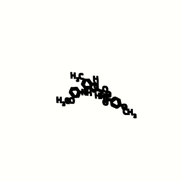 COc1ccc(S(=O)(=O)NC(=O)c2cc3c(Nc4cccc(OC)c4)cc(C)cc3[nH]2)cc1